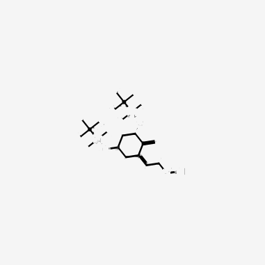 C=C1/C(=C\CPO)CC(O[Si](C)(C)C(C)(C)C)C[C@@H]1O[Si](C)(C)C(C)(C)C